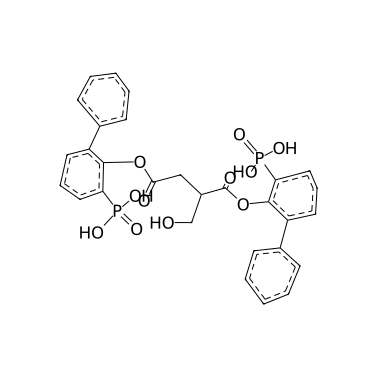 O=C(CC(CO)C(=O)Oc1c(-c2ccccc2)cccc1P(=O)(O)O)Oc1c(-c2ccccc2)cccc1P(=O)(O)O